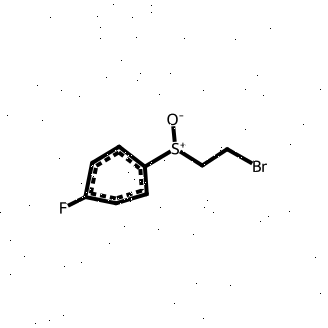 [O-][S+](CCBr)c1ccc(F)cc1